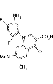 CNc1cc2c(cc1C)c(=O)c(C(=O)O)cn2-c1cc(N)c(F)cc1F